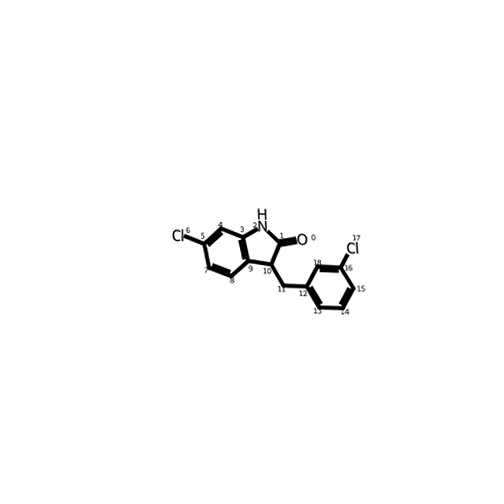 O=C1Nc2cc(Cl)ccc2C1Cc1cccc(Cl)c1